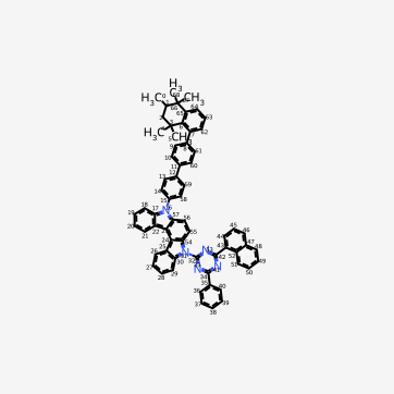 CC1CC(C)(C)c2c(-c3ccc(-c4ccc(-n5c6ccccc6c6c7c8ccccc8n(-c8nc(-c9ccccc9)nc(-c9cccc%10ccccc9%10)n8)c7ccc65)cc4)cc3)cccc2C1(C)C